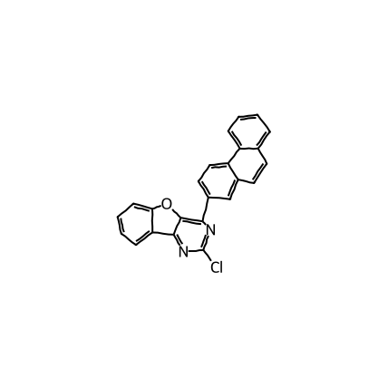 Clc1nc(-c2ccc3c(ccc4ccccc43)c2)c2oc3ccccc3c2n1